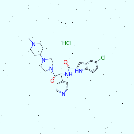 CN1CCC(N2CCN(C(=O)[C@@](C)(NC(=O)c3cc4cc(Cl)ccc4[nH]3)c3ccncc3)CC2)CC1.Cl